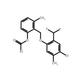 CCC(=O)Oc1cccc(C)c1COc1cc(C)c(CC)cc1C(F)F